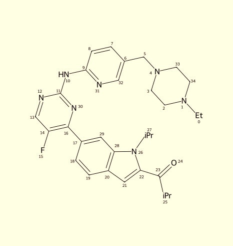 CCN1CCN(Cc2ccc(Nc3ncc(F)c(-c4ccc5cc(C(=O)C(C)C)n(C(C)C)c5c4)n3)nc2)CC1